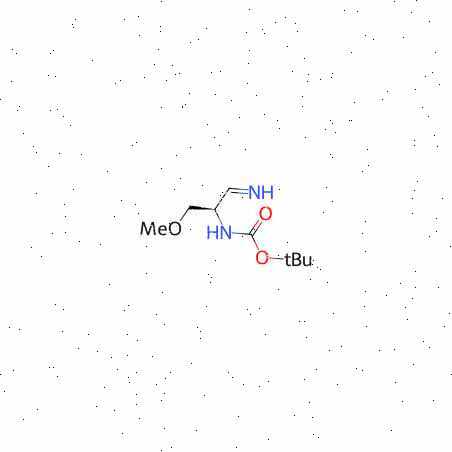 COC[C@@H](C=N)NC(=O)OC(C)(C)C